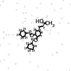 CC(O)C=Cc1ccc(OCc2ccccc2)c(OCc2ccccc2)c1